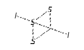 IC12SS1(I)S2